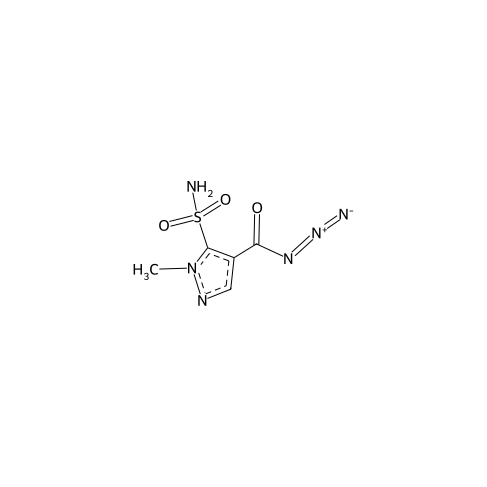 Cn1ncc(C(=O)N=[N+]=[N-])c1S(N)(=O)=O